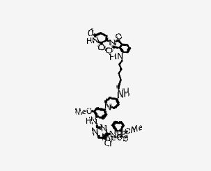 COc1cc(N2CCC(NCCCCCCNc3cccc4c3C(=O)N(C3CCC(=O)NC3=O)C4=O)CC2)ccc1Nc1ncc(Cl)c(Nc2ccccc2P(=O)(OC)OC)n1